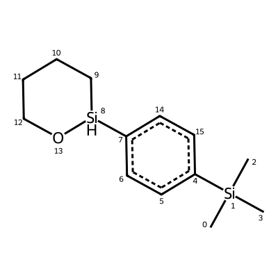 C[Si](C)(C)c1ccc([SiH]2CCCCO2)cc1